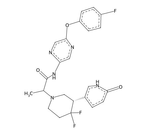 CC(C(=O)Nc1cnc(Oc2ccc(F)cc2)cn1)N1CCC(F)(F)[C@@H](c2ccc(=O)[nH]c2)C1